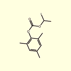 Cc1cc(C)c(OC(=O)OC(C)I)c(C)c1